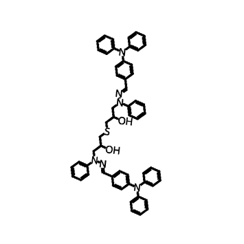 OC(CSCC(O)CN(/N=C/c1ccc(N(c2ccccc2)c2ccccc2)cc1)c1ccccc1)CN(/N=C/c1ccc(N(c2ccccc2)c2ccccc2)cc1)c1ccccc1